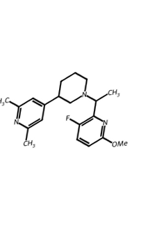 COc1ccc(F)c(C(C)N2CCCC(c3cc(C)nc(C)c3)C2)n1